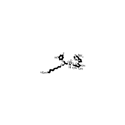 CCCCCCCCCCCCCCCCCOC[C@@H](COc1cc(F)cc(C#N)c1)COP(=O)(O)OC[C@@]1(C#N)O[C@@H](c2ccc3c(N)ncnn23)[C@H](O)[C@@H]1O